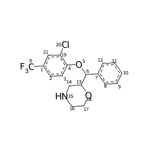 FC(F)(F)c1ccc(OC(c2ccccc2)C2CNCCO2)c(Cl)c1